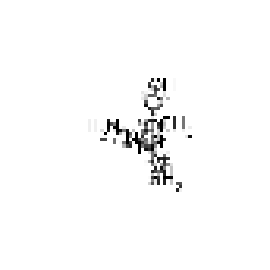 Cn1c(-c2ccc(O)cc2)cc2c(N3CCC(N)C3)nc(N3CCC(N)C3)nc21